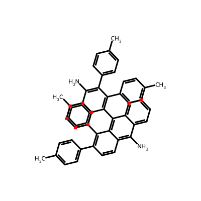 Cc1ccc(-c2ccc3c(N)c4ccccc4c(-c4c(-c5ccc(C)cc5)c(-c5ccc(C)cc5)c(N)c5ccccc45)c3c2-c2ccc(C)cc2)cc1